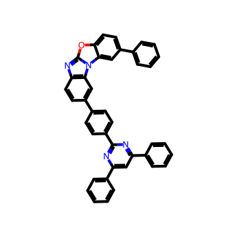 c1ccc(-c2ccc3oc4nc5ccc(-c6ccc(-c7nc(-c8ccccc8)cc(-c8ccccc8)n7)cc6)cc5n4c3c2)cc1